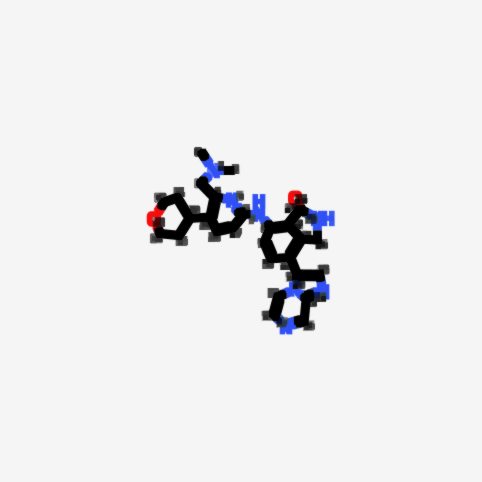 CN(C)Cc1nc(Nc2ccc(-c3cnc4cnccn34)c3c2C(=O)NC3)ccc1C1CCOCC1